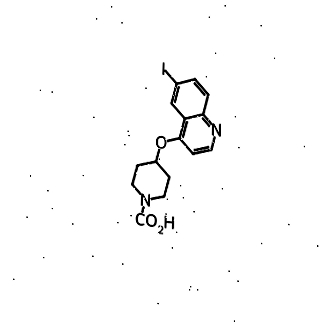 O=C(O)N1CCC(Oc2ccnc3ccc(I)cc23)CC1